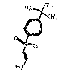 CC=CS(=O)(=O)c1ccc(C(C)(C)C)cc1